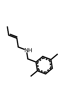 C/C=C/CNCc1cc(C)ccc1C